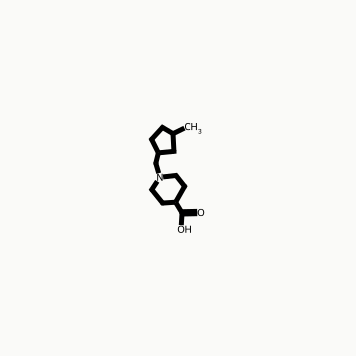 CC1CCC(CN2CCC(C(=O)O)CC2)C1